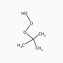 CC(C)(C)OOO